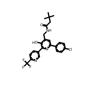 CC(C)(C)CC(=O)NCc1cc(-c2ccc(Cl)cc2)nc(-c2ccc(C(F)(F)F)nc2)c1O